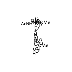 COCC(OC1CC1)(c1ccccc1)c1nc(N2CCC(N3CCC(C)(NCC#Cc4ccc(OC)c(N5CCC(=O)N(CNC(=O)CNC(C)=O)C5=O)c4)CC3)CC2)nc2ccc(-c3cn(C)c(=O)c4[nH]ccc34)cc12